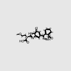 COCCN(C(=O)O)c1nc2cc(-c3n[nH]c(=O)c4ccccc34)cc(Cl)c2[nH]1